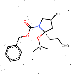 C[SiH](C)O[C@]1(CCC=O)C[C@H](C(C)(C)C)CN1C(=O)OCc1ccccc1